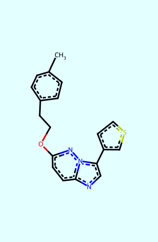 Cc1ccc(CCOc2ccc3ncc(-c4ccsc4)n3n2)cc1